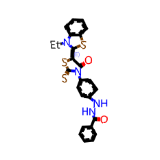 CCN1/C(=C2\SC(=S)N(c3ccc(NNC(=O)c4ccccc4)cc3)C2=O)Sc2ccccc21